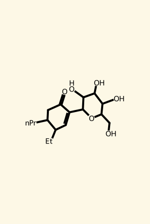 CCCC1CC(=O)C(C2OC(CO)C(O)C(O)C2O)=CC1CC